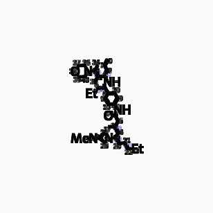 C=C/C=C(N/C(=C/CC)c1ccc(NC(=O)C/C(C)=C/C(=C\C=C\CC)N2CC(NC)C2)cc1)\C(C)=C(/C)N1CCOCC1